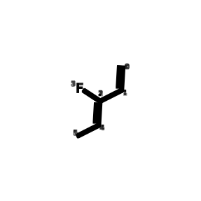 C=CC(F)=CC